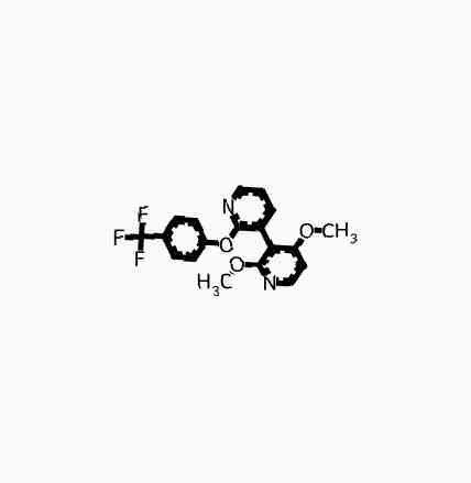 COc1ccnc(OC)c1-c1cccnc1Oc1ccc(C(F)(F)F)cc1